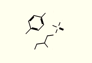 Cc1ccc(S(=O)(=O)O)cc1.O=P(O)(O)OCC(O)CO